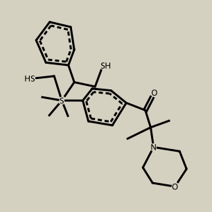 CC(C)(C(=O)c1ccc(S(C)(C)(C)(CS)C(CS)c2ccccc2)cc1)N1CCOCC1